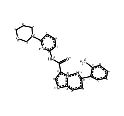 O=C(Nc1cccc(N2CCCOC2)n1)c1cnc2ccc(-c3ccccc3C(F)(F)F)nn12